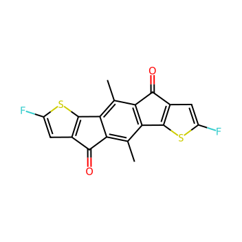 Cc1c2c(=O)c3cc(F)sc3c2c(C)c2c(=O)c3cc(F)sc3c12